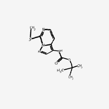 CSc1nccc2c(NC(=O)OC(C)(C)C)cnn12